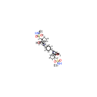 CCNS(=O)(=O)CC12CCC(/C(=C\c3ccc(/C=C4/C(=O)C5(CS(=O)(=O)NCC)CCC4C5(C)C)cc3)C1=O)C2(C)C